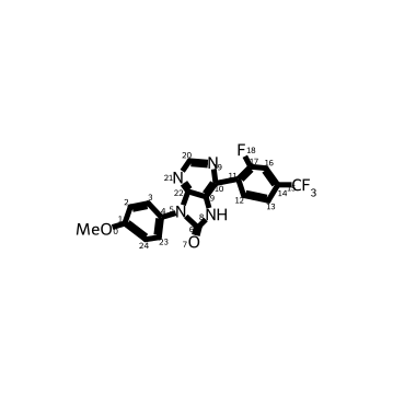 COc1ccc(-n2c(=O)[nH]c3c(-c4ccc(C(F)(F)F)cc4F)ncnc32)cc1